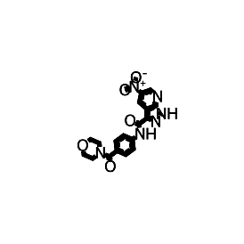 O=C(Nc1ccc(C(=O)N2CCOCC2)cc1)c1n[nH]c2ncc([N+](=O)[O-])cc12